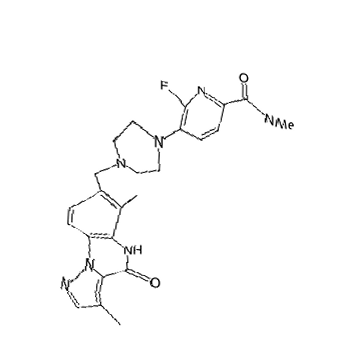 CNC(=O)c1ccc(N2CCN(Cc3ccc4c([nH]c(=O)c5c(C)cnn54)c3C)CC2)c(F)n1